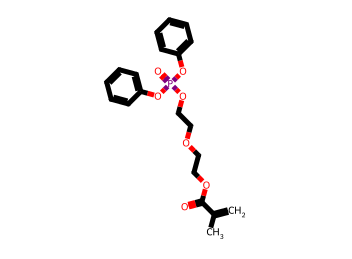 C=C(C)C(=O)OCCOCCOP(=O)(Oc1ccccc1)Oc1ccccc1